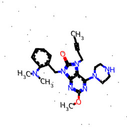 CC#CCn1c(=O)n(Cc2ccccc2N(C)C)c2nc(OC)nc(N3CCNCC3)c21